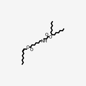 CCCCCC/C=C\COC(=O)CCCCCNCCC(=O)OC(CCCCCC)CCCCCC